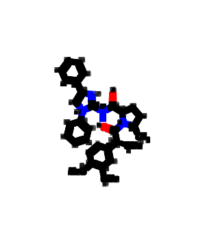 COc1ccc([C@H](OC)C(=O)N2C(C)CCC2C(=O)Nc2nc(-c3ccccc3)cn2-c2ccccc2)cc1OC